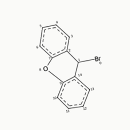 BrC1c2ccccc2Oc2ccccc21